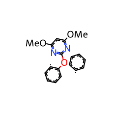 COc1cc(OC)nc(Oc2[c]cccc2)n1.[c]1ccccc1